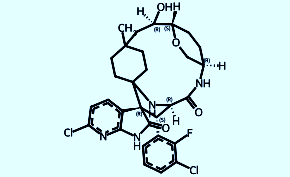 CC12CCC3(CC1)N[C@@H](C(=O)N[C@@H]1CC[C@H](OC1)[C@H](O)C2)[C@H](c1cccc(Cl)c1F)[C@]31C(=O)Nc2nc(Cl)ccc21